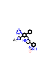 CC(=O)N1CC(c2cc(CC3CC(c4cccc5c4[N]C(=O)N5)CCN3)c(-c3ccccc3)cc2N2C=NC=NC2)C1